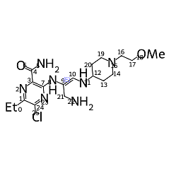 CCc1nc(C(N)=O)c(N/C(=C/NC2CCN(CCOC)CC2)CN)nc1Cl